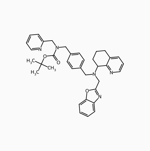 CC(C)(C)OC(=O)N(Cc1ccc(CN(Cc2nc3ccccc3o2)C2CCCc3cccnc32)cc1)Cc1ccccn1